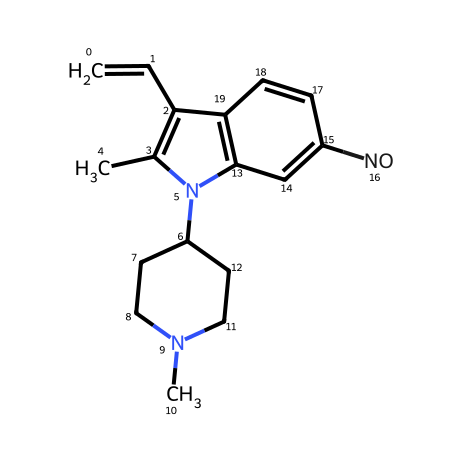 C=Cc1c(C)n(C2CCN(C)CC2)c2cc(N=O)ccc12